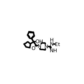 CCNC(=N)N1CCN(C(=O)C(O)(c2ccccc2)C2CCCC2)CC1